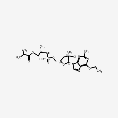 CCOc1nc(N)nc2c1ncn2[C@@H]1O[C@H](CO[P@](=O)(O)N[C@@H](C)COC(=O)C(C)C)C[C@@]1(C)Cl